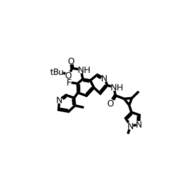 Cc1ccncc1-c1cc2cc(NC(=O)C3C(C)C3c3cnn(C)c3)ncc2c(NC(=O)OC(C)(C)C)c1F